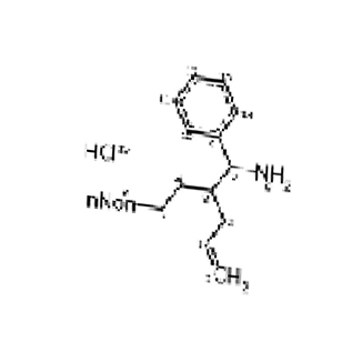 C=CCC(CCCCCCCCCCC)C(N)c1ccccc1.Cl